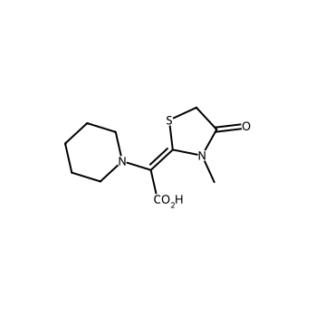 CN1C(=O)CSC1=C(C(=O)O)N1CCCCC1